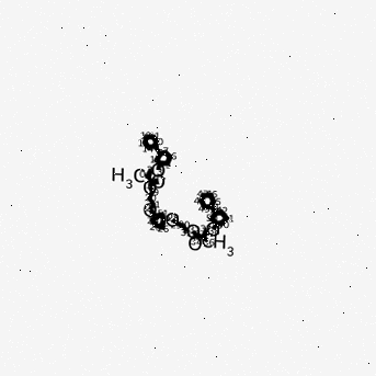 CC(=COc1cccc(-c2ccccc2)c1)C(=O)OCCCOc1cccc(OCCCOC(=O)C(C)=COc2cccc(-c3ccccc3)c2)c1